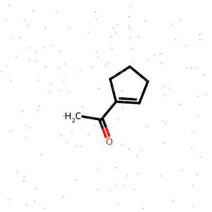 [CH2]C(=O)C1=CCCC1